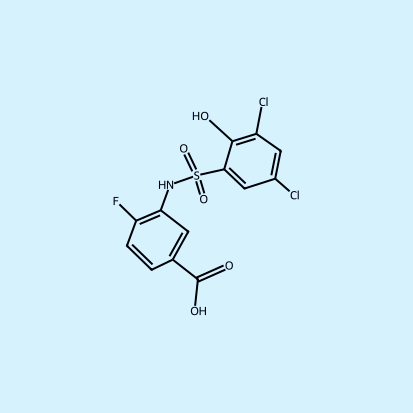 O=C(O)c1ccc(F)c(NS(=O)(=O)c2cc(Cl)cc(Cl)c2O)c1